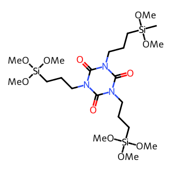 CO[Si](C)(CCCn1c(=O)n(CCC[Si](OC)(OC)OC)c(=O)n(CCC[Si](OC)(OC)OC)c1=O)OC